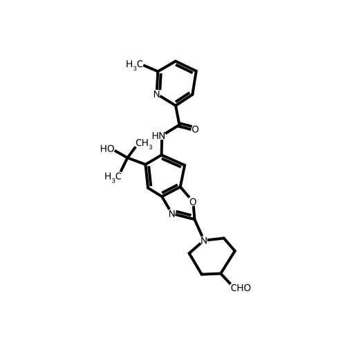 Cc1cccc(C(=O)Nc2cc3oc(N4CCC(C=O)CC4)nc3cc2C(C)(C)O)n1